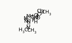 COc1ccc(S(=O)(=O)Nc2cccc(-c3cn(C4CCN(C(C)C)CC4)c4ncnc(N)c34)c2F)cc1Cl